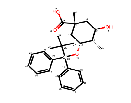 C[C@H]1[C@H](O)C[C@@](C)(C(=O)O)C[C@H]1O[Si](c1ccccc1)(c1ccccc1)C(C)(C)C